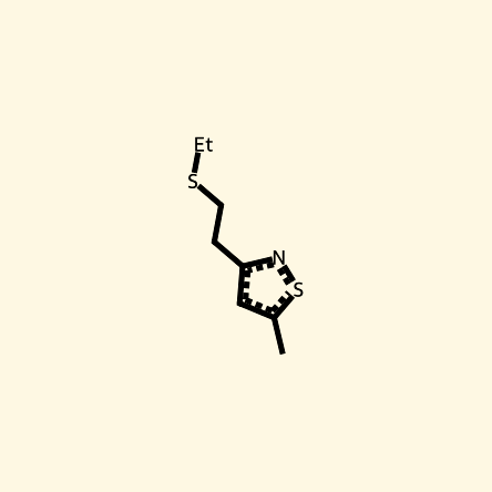 CCSCCc1cc(C)sn1